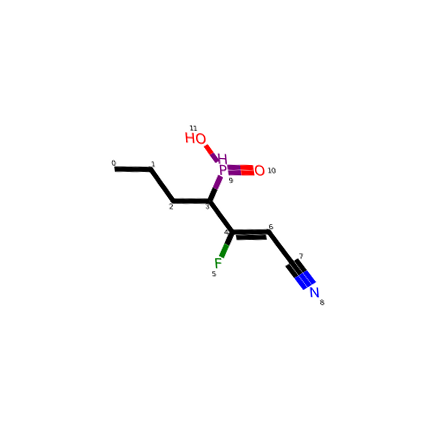 CCCC(C(F)=CC#N)[PH](=O)O